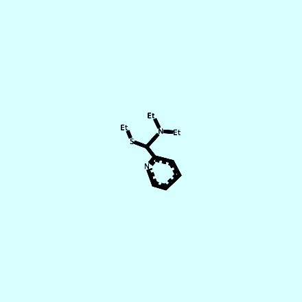 CCSC(c1ccccn1)N(CC)CC